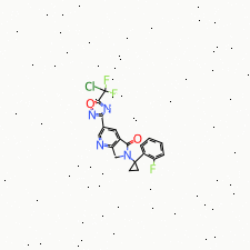 O=C1c2cc(-c3noc(C(F)(F)Cl)n3)cnc2CN1C1(c2ccccc2F)CC1